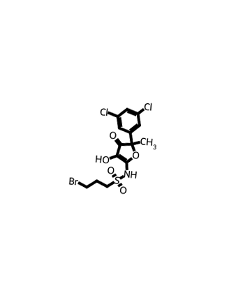 CC1(c2cc(Cl)cc(Cl)c2)OC(NS(=O)(=O)CCCBr)=C(O)C1=O